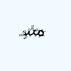 COC(O)(OC)C(=O)CC(Cc1ccccc1)C(=O)O